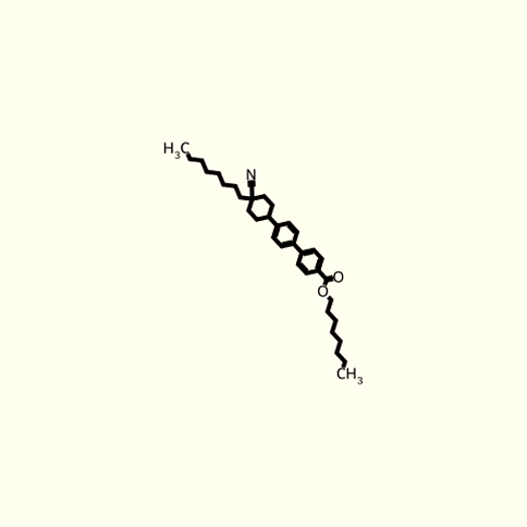 CCCCCCCCOC(=O)c1ccc(-c2ccc(C3CCC(C#N)(CCCCCCCC)CC3)cc2)cc1